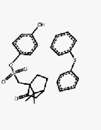 CC1(C)C2CCC1(CS(=O)(=O)Oc1ccc(O)cc1)C(=O)C2.c1ccc(Sc2ccccc2)cc1